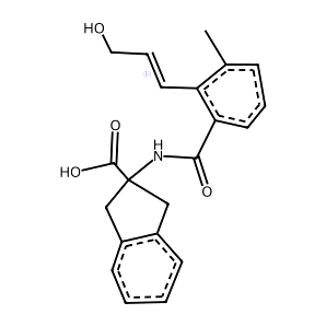 Cc1cccc(C(=O)NC2(C(=O)O)Cc3ccccc3C2)c1/C=C/CO